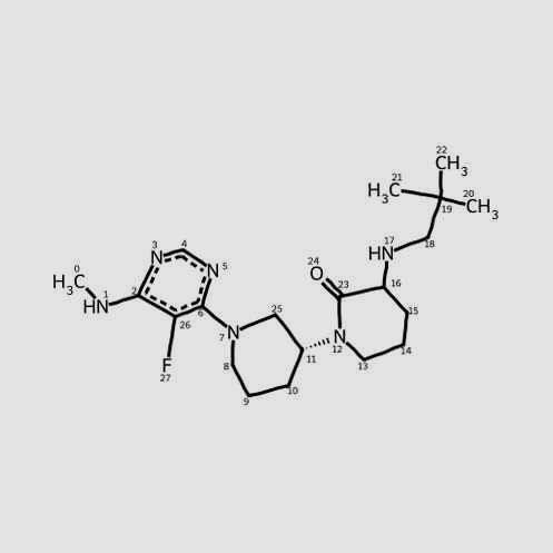 CNc1ncnc(N2CCC[C@@H](N3CCCC(NCC(C)(C)C)C3=O)C2)c1F